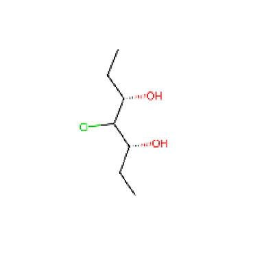 CC[C@@H](O)C(Cl)[C@@H](O)CC